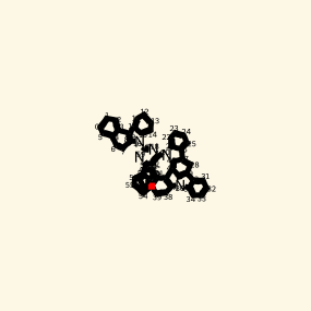 c1ccc2c(c1)ccc1c2c2ccccc2n1-c1nc(-n2c3ccccc3c3cc4c5ccccc5n5c6ccc7ccccc7c6c(c32)c45)c2sc3ccccc3c2n1